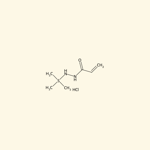 C=CC(=O)NNS(C)(C)C.Cl